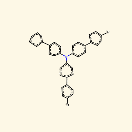 [3H]c1ccc(-c2ccc(N(c3ccc(-c4ccccc4)cc3)c3ccc(-c4ccc([3H])cc4)cc3)cc2)cc1